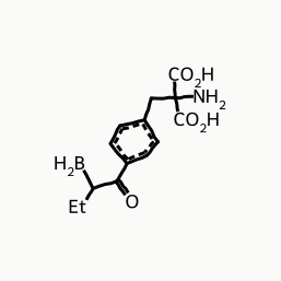 BC(CC)C(=O)c1ccc(CC(N)(C(=O)O)C(=O)O)cc1